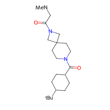 CNCC(=O)N1CC2(CCN(C(=O)C3CCC(C(C)(C)C)CC3)CC2)C1